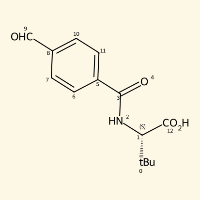 CC(C)(C)[C@H](NC(=O)c1ccc(C=O)cc1)C(=O)O